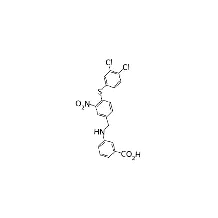 O=C(O)c1cccc(NCc2ccc(Sc3ccc(Cl)c(Cl)c3)c([N+](=O)[O-])c2)c1